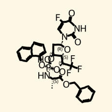 C[C@H](N[P@](=O)(Oc1cccc2ccccc12)O[C@@H]([C@H]1O[C@@H](n2cc(F)c(=O)[nH]c2=O)C[C@@H]1O)C(F)(F)F)C(=O)OCc1ccccc1